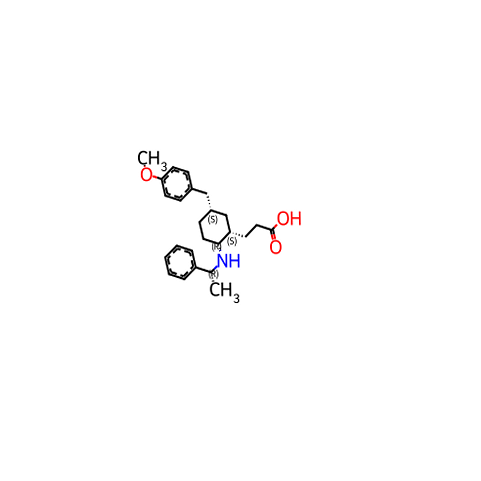 COc1ccc(C[C@H]2CC[C@@H](N[C@H](C)c3ccccc3)[C@@H](CCC(=O)O)C2)cc1